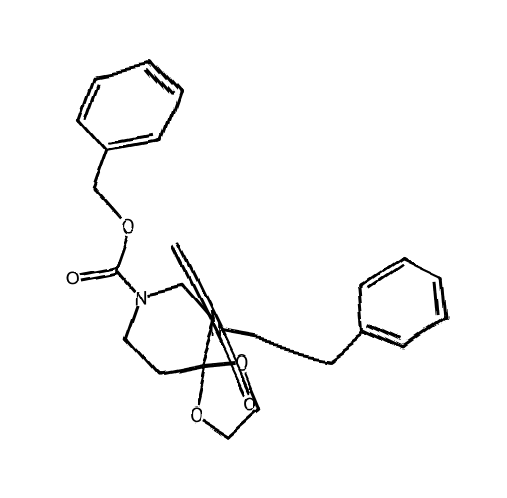 O=C(OCc1ccccc1)N1CCC2(OCCO2)C2(CCN(Cc3ccccc3)C2=O)C1